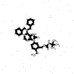 COc1ccc(-n2c(=O)[nH]c3c(N(Cc4ccccc4)Cc4ccccc4)ncnc32)cc1COC(=O)NC(C)(C)C